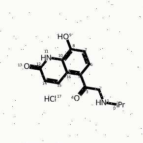 CC(C)NCC(=O)c1ccc(O)c2[nH]c(=O)ccc12.Cl